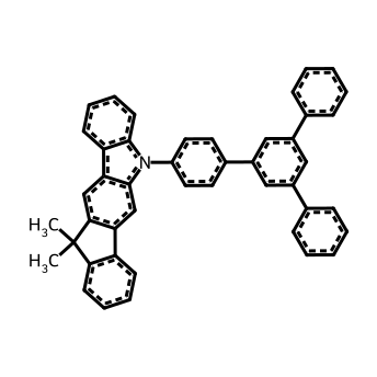 CC1(C)c2ccccc2-c2cc3c(cc21)c1ccccc1n3-c1ccc(-c2cc(-c3ccccc3)cc(-c3ccccc3)c2)cc1